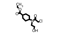 CCOC(=O)C1CCC(N(CCO)C(=O)CCl)CC1